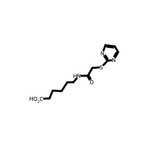 O=C(O)CCCCCNC(=O)CSc1ncccn1